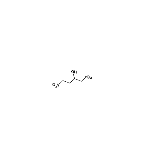 CCCCCC(O)CC[N+](=O)[O-]